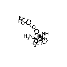 CCC1CCCCN1C(=N)N(CC(C)(C)CN)c1ccc(OCc2cccc(OC(F)(F)F)c2)cc1